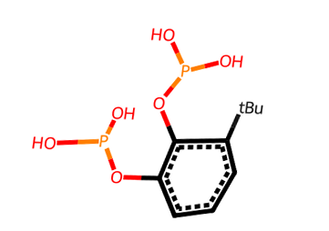 CC(C)(C)c1cccc(OP(O)O)c1OP(O)O